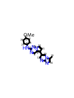 COC1CCC(Nc2ncc3c(-c4cnc5ncc(C)n5c4)ccn3n2)CC1